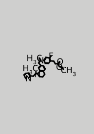 CCOC(=O)CCc1ccc(N(C)Cc2ccc3c(c2C)N(CCc2ccccn2)CCC3)cc1F